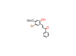 COc1cc(O)c(C=CC(=O)c2ccccc2)cc1Br